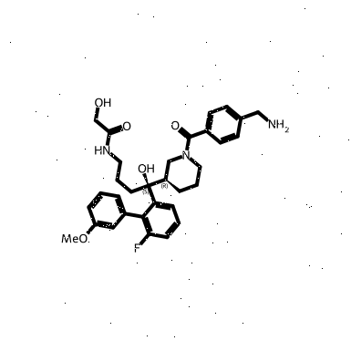 COc1cccc(-c2c(F)cccc2[C@](O)(CCCNC(=O)CO)[C@@H]2CCCN(C(=O)c3ccc(CN)cc3)C2)c1